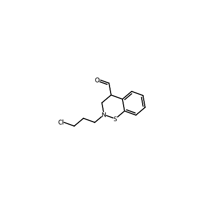 O=CC1CN(CCCCl)Sc2ccccc21